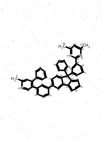 Cc1cc(-c2ccccc2)c(-c2cccc(-c3ccc4c(c3)-c3ccccc3C4(c3ccccc3)c3cccc(-c4nc(C)cc(C)n4)c3)c2)cn1